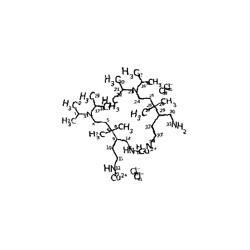 CC(C)N(CCC(C)(C)C(CC[NH][Cu+2])C[NH][Cu+2])C(C)C.CC(C)N(CCC(C)(C)C(CN)CCN)C(C)C.[Cl-].[Cl-].[Cl-].[Cl-]